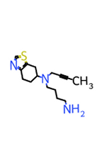 CC#CCN(CCCCN)C1CCc2ncsc2C1